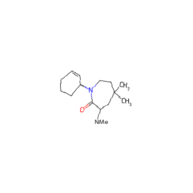 CNC1CC(C)(C)CCN(C2C=CCCC2)C1=O